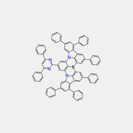 c1ccc(-c2cc3c4c(c2)c2c(-c5ccccc5)cc(-c5ccccc5)cc2n4-c2cc(-c4nc(-c5ccccc5)cc(-c5ccccc5)n4)cc4c2B3c2cc(-c3ccccc3)cc3c5c(-c6ccccc6)cc(-c6ccccc6)cc5n-4c23)cc1